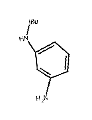 CCC(C)Nc1cccc(N)c1